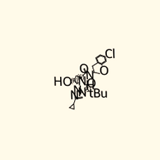 CC(C)(C)[C@@H](C(=O)N1C[C@H](O)C[C@H]1C(=O)NC1COc2cc(Cl)ccc2C1)n1cc(C2CC2)nn1